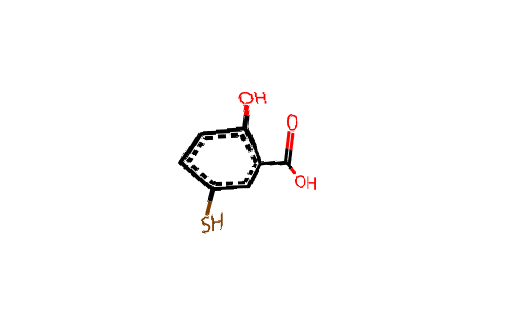 O=C(O)c1cc(S)ccc1O